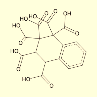 O=C(O)C1c2ccccc2C(C(=O)O)(C(=O)O)C(C(=O)O)(C(=O)O)C1C(=O)O